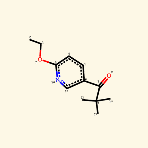 CCOc1ccc(C(=O)C(C)(C)C)cn1